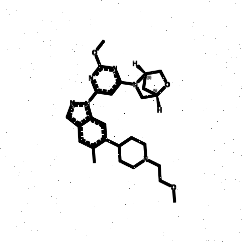 COCCN1CCC(c2cc3c(cnn3-c3cc(N4C[C@@H]5C[C@H]4CO5)nc(OC)n3)cc2C)CC1